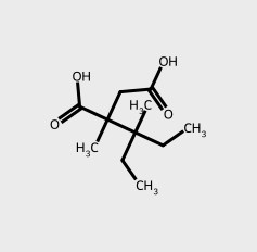 CCC(C)(CC)C(C)(CC(=O)O)C(=O)O